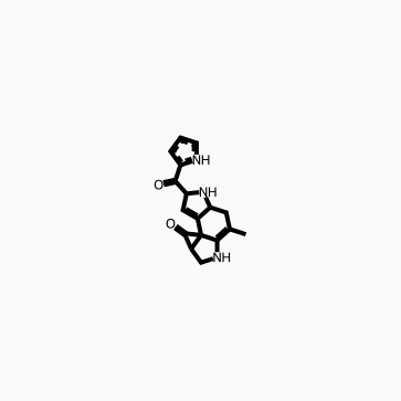 CC1=C2NCC3C(=O)C23C2=CC(C(=O)c3ccc[nH]3)NC2C1